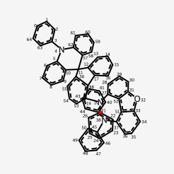 c1ccc(N2c3ccccc3C3(c4ccccc4-c4c(N(c5ccccc5)c5cccc6oc7cccc(N(c8ccccc8)c8ccccc8)c7c56)cccc43)c3ccccc32)cc1